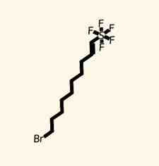 FS(F)(F)(F)(F)C=CCCCCCCCCBr